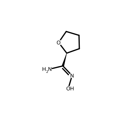 N/C(=N\O)[C@@H]1CCCO1